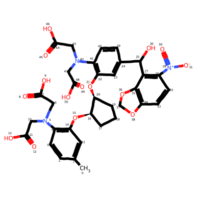 Cc1ccc(N(CC(=O)O)CC(=O)O)c(O[C@@H]2CCC[C@@H]2Oc2cc(C(O)c3c([N+](=O)[O-])ccc4c3OCO4)ccc2N(CC(=O)O)CC(=O)O)c1